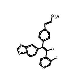 CCC(=C(c1ccc(C=CC(=O)O)cc1)c1ccc2scnc2c1)c1ccncc1Cl